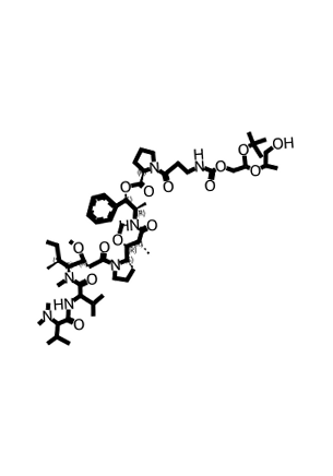 CC[C@H](C)[C@@H]([C@@H](CC(=O)N1CCC[C@H]1[C@H](OC)[C@@H](C)C(=O)N[C@H](C)[C@@H](OC(=O)[C@H]1CCCN1C(=O)CCNC(=O)OCC(OC(C)CO)OC(C)(C)C)c1ccccc1)OC)N(C)C(=O)C(NC(=O)C(C(C)C)N(C)C)C(C)C